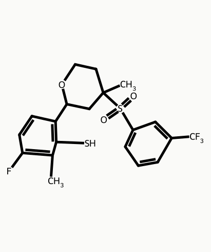 Cc1c(F)ccc(C2CC(C)(S(=O)(=O)c3cccc(C(F)(F)F)c3)CCO2)c1S